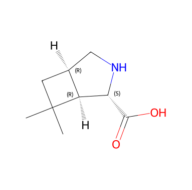 CC1(C)C[C@H]2CN[C@H](C(=O)O)[C@H]21